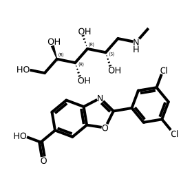 CNC[C@H](O)[C@@H](O)[C@H](O)[C@H](O)CO.O=C(O)c1ccc2nc(-c3cc(Cl)cc(Cl)c3)oc2c1